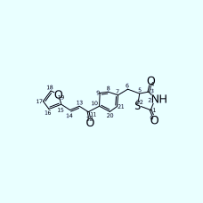 O=C1NC(=O)C(Cc2ccc(C(=O)/C=C/c3ccco3)cc2)S1